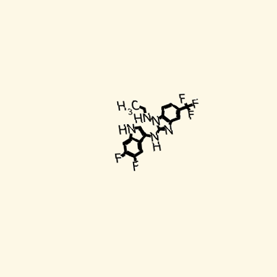 CCNn1c(Nc2c[nH]c3cc(F)c(F)cc23)nc2cc(C(F)(F)F)ccc21